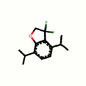 CC(C)c1ccc(C(C)C)c2c1OCC2(F)F